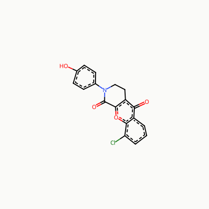 O=C1c2oc3c(Cl)cccc3c(=O)c2CCN1c1ccc(O)cc1